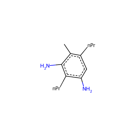 CCCc1cc(N)c(CCC)c(N)c1C